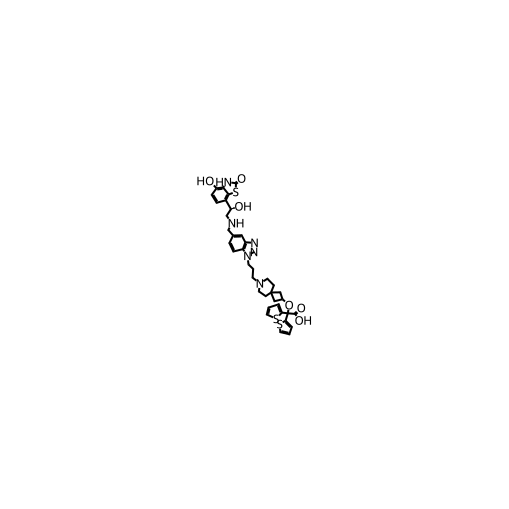 O=C(O)C(OC1CC2(CCN(CCCn3nnc4cc(CNC[C@H](O)c5ccc(O)c6[nH]c(=O)sc56)ccc43)CC2)C1)(c1cccs1)c1cccs1